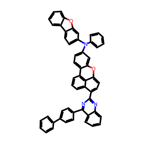 c1ccc(-c2ccc(-c3nc(-c4ccc5c6c(cccc46)-c4ccc(N(c6ccccc6)c6ccc7c(c6)oc6ccccc67)cc4O5)nc4ccccc34)cc2)cc1